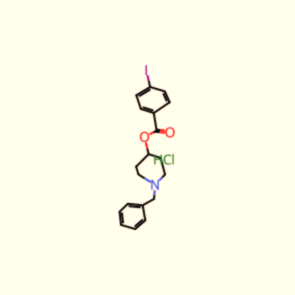 Cl.O=C(OC1CCN(Cc2ccccc2)CC1)c1ccc(I)cc1